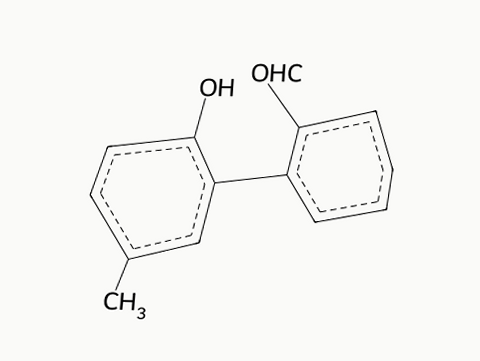 Cc1ccc(O)c(-c2ccccc2C=O)c1